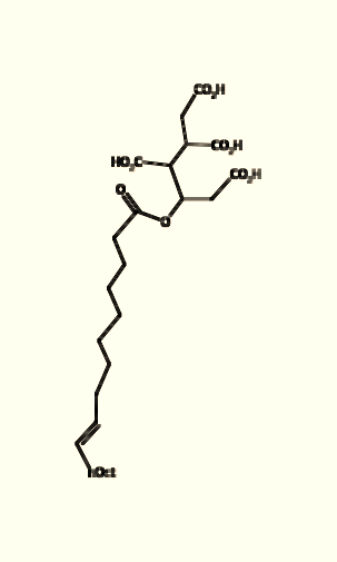 CCCCCCCCC=CCCCCCCCC(=O)OC(CC(=O)O)C(C(=O)O)C(CC(=O)O)C(=O)O